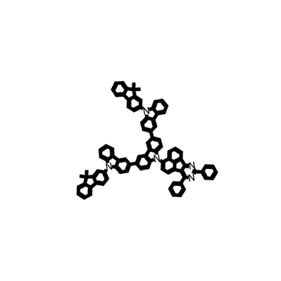 CC1(C)c2ccccc2-c2ccc(-n3c4ccccc4c4cc(-c5ccc6c(c5)c5cc(-c7ccc8c(c7)c7ccccc7n8-c7ccc8c(c7)C(C)(C)c7ccccc7-8)ccc5n6-c5ccc6c7c(cccc57)-c5nc(-c7ccccc7)nc(-c7ccccc7)c5-6)ccc43)cc21